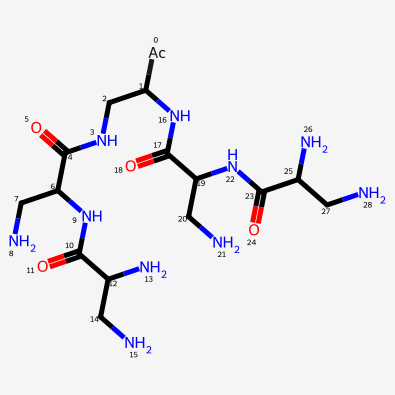 CC(=O)C(CNC(=O)C(CN)NC(=O)C(N)CN)NC(=O)C(CN)NC(=O)C(N)CN